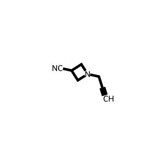 C#CCN1CC(C#N)C1